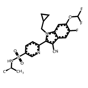 C[C@H](NS(=O)(=O)c1ccc(-c2c(C#N)c3cc(F)c(OC(F)F)cc3n2CC2CC2)nc1)C(F)(F)F